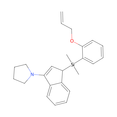 C=CCOc1ccccc1[Si](C)(C)C1C=C(N2CCCC2)c2ccccc21